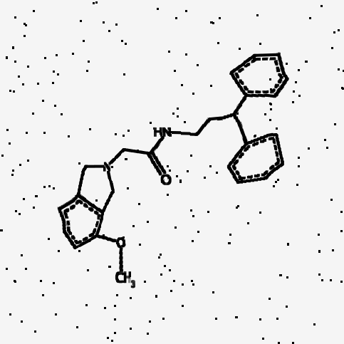 COc1cccc2c1CN(CC(=O)NCCC(c1ccccc1)c1ccccc1)C2